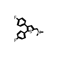 CN(C)Cc1cc(-c2ccc(F)cc2)c(-c2ccc(F)cc2)s1